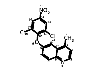 Cc1ccnc2ccc(Oc3c(Cl)cc([N+](=O)[O-])cc3Cl)cc12